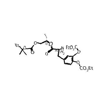 CCOC(=O)Oc1ccc(C[C@H](N)C(=O)O[C@@H](C)COC(=O)OC(C)(C)CC)cc1OC(=O)OCC